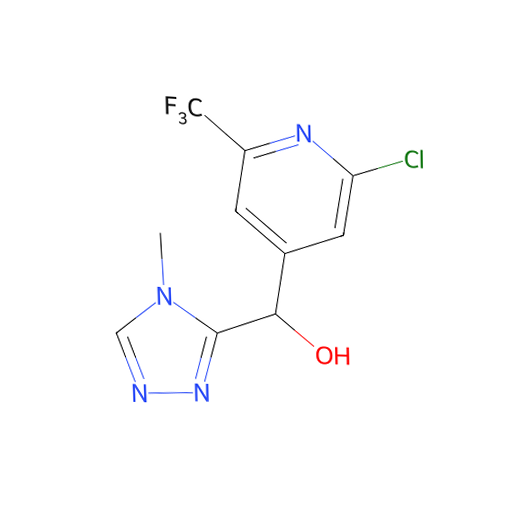 Cn1cnnc1C(O)c1cc(Cl)nc(C(F)(F)F)c1